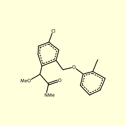 CNC(=O)C(OC)c1ccc(Cl)cc1COc1ccccc1C